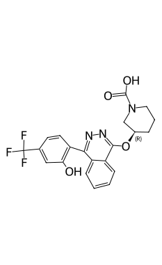 O=C(O)N1CCC[C@@H](Oc2nnc(-c3ccc(C(F)(F)F)cc3O)c3ccccc23)C1